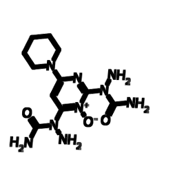 NC(=O)N(N)c1cc(N2CCCCC2)nc(N(N)C(N)=O)[n+]1[O-]